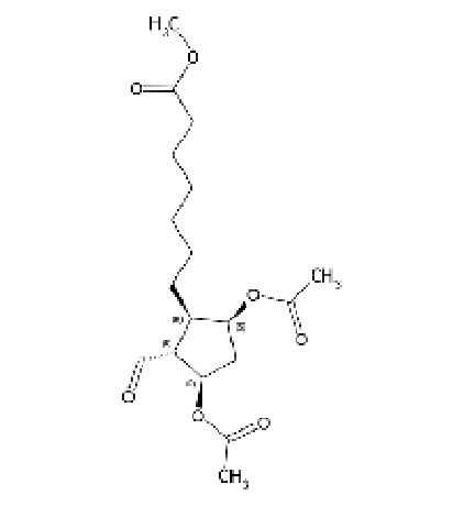 COC(=O)CCCCCC[C@@H]1[C@@H](C=O)[C@H](OC(C)=O)C[C@@H]1OC(C)=O